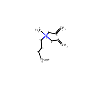 C=CC[N+](C)(CC=C)CCCCCCCCCC